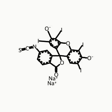 O=C1OC2(c3cc(N=C=S)ccc31)c1cc(I)c([O-])c(I)c1Oc1c2cc(I)c([O-])c1I.[Na+].[Na+]